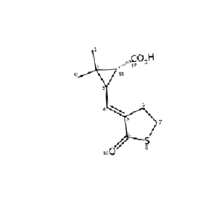 CC1(C)C(C=C2CCSC2=O)[C@H]1C(=O)O